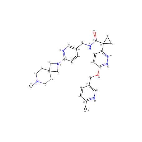 CC(=O)N1CCC2(CC1)CN(c1ccc(CNC(=O)C3(c4ccc(OCc5ccc(C(F)(F)F)nc5)nn4)CC3)cn1)C2